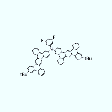 CC(C)(C)c1ccc2c(c1)c1ccccc1c1cc3c4ccc(N(c5cc(F)cc(F)c5)c5ccc6c(c5)c5ccccc5c5cc7c8ccc(C(C)(C)C)cc8c8ccccc8c7cc65)cc4c4ccccc4c3cc21